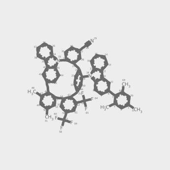 Cc1cc(C)c(-c2ccc3c(c2)c2ccccc2n3-c2cc3ccc2-c2cc(C#N)ccc2-n2c4ccccc4c4cc(ccc42)-c2c(C)cc(C)cc2-c2cc(C(F)(F)F)cc(C(F)(F)F)c2-3)c(C)c1